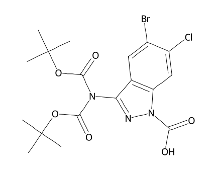 CC(C)(C)OC(=O)N(C(=O)OC(C)(C)C)c1nn(C(=O)O)c2cc(Cl)c(Br)cc12